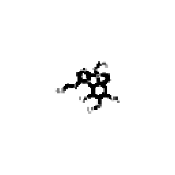 CCSc1cnc2n1C1=C(C)C(OC)=C(C)CC13C=CC=C[N+]23OC